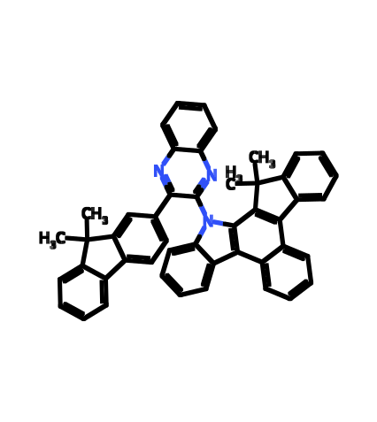 CC1(C)c2ccccc2-c2ccc(-c3nc4ccccc4nc3-n3c4ccccc4c4c5ccccc5c5c(c43)C(C)(C)c3ccccc3-5)cc21